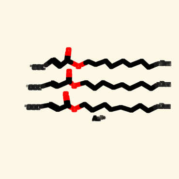 CCCCCCCCCCCCCCCCCCOC(=O)/C=C/C(=O)[O-].CCCCCCCCCCCCCCCCCCOC(=O)/C=C/C(=O)[O-].CCCCCCCCCCCCCCCCCCOC(=O)/C=C/C(=O)[O-].[Au+3]